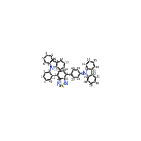 c1ccc(-n2c3ccccc3c3ccccc32)c(-c2ccc(-c3ccc(-n4c5ccccc5c5ccccc54)cc3)c3nsnc23)c1